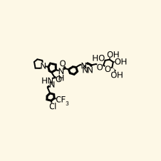 O=C(Nc1ccc(N2CCCCC2)cc1C(=O)N/N=C/c1ccc(Cl)c(C(F)(F)F)c1)c1cccc(Cn2cc(COC3O[C@@H](CO)[C@H](O)[C@H](O)[C@H]3O)nn2)c1